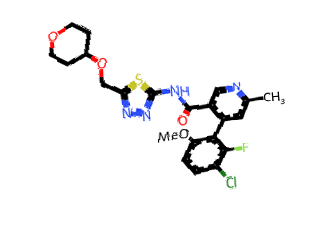 COc1ccc(Cl)c(F)c1-c1cc(C)ncc1C(=O)Nc1nnc(COC2CCOCC2)s1